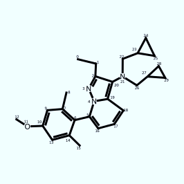 CCc1nn2c(-c3c(C)cc(OC)cc3C)cccc2c1N(CC1CC1)CC1CC1